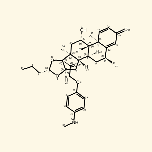 CCC[C@H]1O[C@@H]2C[C@H]3[C@@H]4C[C@H](F)C5=CC(=O)C=C[C@]5(C)[C@@]4(F)[C@@H](O)C[C@]3(C)[C@]2(C(=O)COc2ccc(NC)cc2)O1